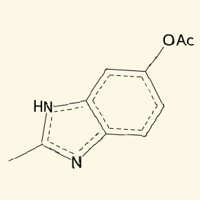 CC(=O)Oc1ccc2nc(C)[nH]c2c1